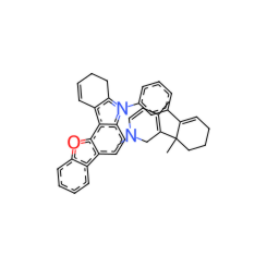 CC1=C(C2(C)CCCC=C2c2cccc(-n3c4c(c5c6oc7ccccc7c6ccc53)C=CCC4)c2)CN(C)C=C1